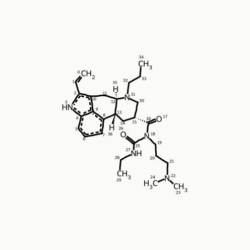 C=Cc1[nH]c2cccc3c2c1C[C@@H]1[C@@H]3C[C@@H](C(=O)N(CCCN(C)C)C(=O)NCC)CN1CCC